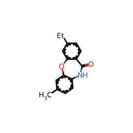 CCc1ccc2c(c1)Oc1cc(C)ccc1NC2=O